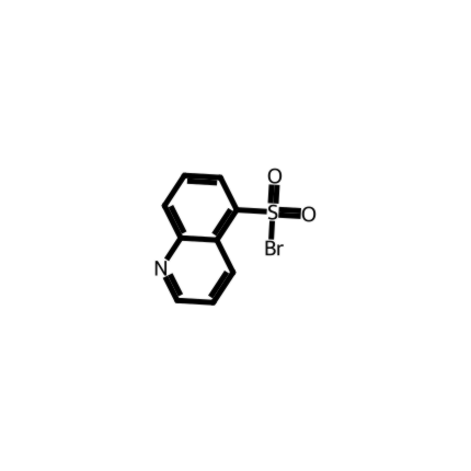 O=S(=O)(Br)c1cccc2ncccc12